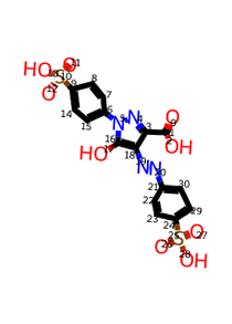 O=C(O)c1nn(-c2ccc(S(=O)(=O)O)cc2)c(O)c1/N=N/c1ccc(S(=O)(=O)O)cc1